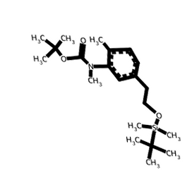 Cc1ccc(CCO[Si](C)(C)C(C)(C)C)cc1N(C)C(=O)OC(C)(C)C